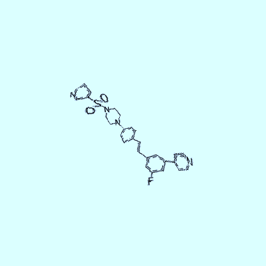 O=S(=O)(c1cccnc1)N1CCN(c2ccc(/C=C/c3cc(F)cc(-c4ccncc4)c3)cc2)CC1